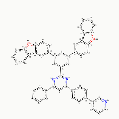 c1ccc(-c2cc(-c3ccc(-c4cccnc4)cc3)nc(-c3cc(-c4ccc5oc6ccccc6c5c4)cc(-c4ccc5oc6ccccc6c5c4)c3)n2)cc1